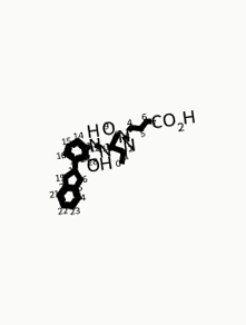 CC1=NN(CCCC(=O)O)C(=O)/C1=N\Nc1cccc(C2Cc3ccccc3C2)c1O